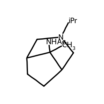 CC(=O)NC1(C)C2CCC1CN(C(C)C)C2